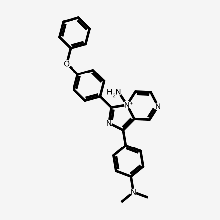 CN(C)c1ccc(C2=C3C=NC=C[N+]3(N)C(c3ccc(Oc4ccccc4)cc3)=N2)cc1